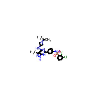 Cc1n[nH]c2nc(-c3ccc(NS(=O)(=O)c4cccc(Cl)c4F)cc3)nc(NC3CN(C(C)C)C3)c12